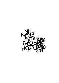 Nc1nc(=S)n([C@@H]2O[C@](CF)(COP(=O)(O)OP(=O)(O)OP(=O)(O)O)C(O)[C@@H]2F)cc1F